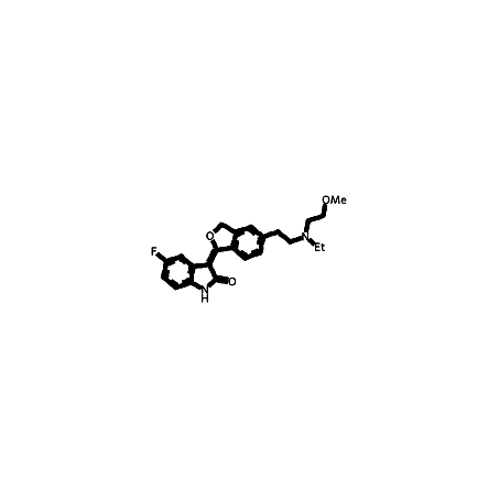 CCN(CCOC)CCc1ccc2c(c1)CO/C2=C1/C(=O)Nc2ccc(F)cc21